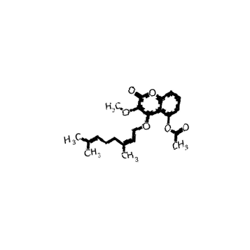 COc1c(OCC=C(C)CCC=C(C)C)c2c(OC(C)=O)cccc2oc1=O